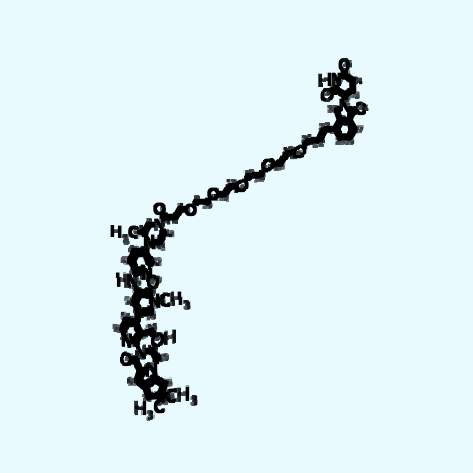 C[C@H]1CN(C(=O)CCOCCOCCOCCOCCOCCCc2cccc3c2CN(C2CCC(=O)NC2=O)C3=O)CCN1c1ccc(Nc2cc(-c3ccnc(N4CCn5c(cc6c5CC(C)(C)C6)C4=O)c3CO)cn(C)c2=O)nc1